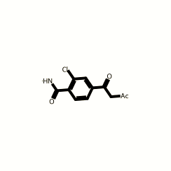 CC(=O)CC(=O)c1ccc(C([NH])=O)c(Cl)c1